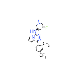 CN1C[C@H](F)C[C@@H](Nc2nnc(-c3ccc(C(F)(F)F)cc3C(F)(F)F)c3cccn23)C1